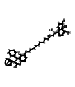 O=C(O)N(C1CN2CCC1CC2)[C@H](c1ccccc1)c1c(F)ccc(OCCCCCCCCCNC[C@H](O)c2ccc(O)c3[nH]c(=O)ccc23)c1F